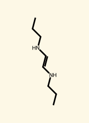 CCCN/C=C/NCCC